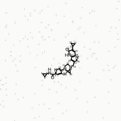 O=C(NC1CC1)c1ccc(N2CCN(Cc3cnc4cc(C5CC5)c(=O)[nH]c4c3)C3C[C@H]32)cn1